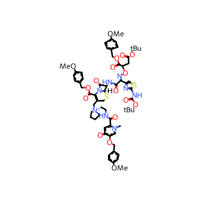 COc1ccc(COC(=O)C2=C(C[N+]3(CCNC(=O)c4cc(=O)c(OCc5ccc(OC)cc5)cn4C)CCCC3)CS[C@@H]3[C@H](NC(=O)C(=NOC(CC(=O)OC(C)(C)C)C(=O)OCc4ccc(OC)cc4)c4csc(NC(=O)OC(C)(C)C)n4)C(=O)N23)cc1